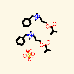 C=C(C)C(=O)OCCC[N+](C)(C)Cc1ccccc1.C=C(C)C(=O)OCCC[N+](C)(C)Cc1ccccc1.O=S(=O)([O-])[O-]